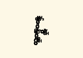 NS(=O)(=O)N1CCN(C2CCN(C(=O)[C@@H](Cc3ccc(O)c(Br)c3)OC(=O)N3CCC(N4CCc5ccccc5NC4=O)CC3)CC2)CC1